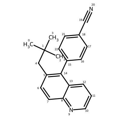 CC(C)(C)Cc1ccc2ncccc2c1-c1ccc(C#N)cc1